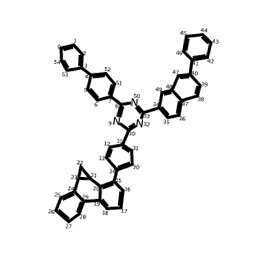 c1ccc(-c2ccc(-c3nc(-c4ccc(-c5cccc6c5C5CC5c5ccccc5-6)cc4)nc(-c4ccc5ccc(-c6ccccc6)cc5c4)n3)cc2)cc1